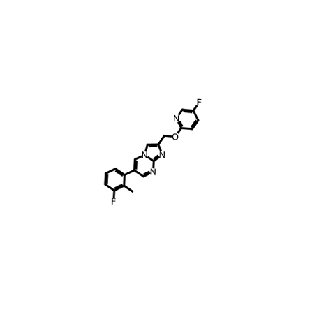 Cc1c(F)cccc1-c1cnc2nc(COc3ccc(F)cn3)cn2c1